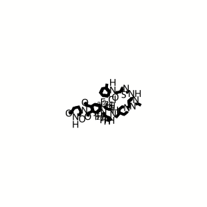 [2H]C1([2H])N(CC2CCN(c3cc(Nc4ncc(C(=O)Nc5c(C)cccc5Cl)s4)nc(C)n3)CC2)C([2H])([2H])C([2H])([2H])N(c2c(F)cc3c(c2F)C(=O)N(C2CCC(=O)NC2=O)C3=O)C1([2H])[2H]